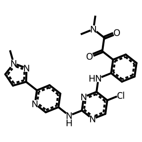 CN(C)C(=O)C(=O)c1ccccc1Nc1nc(Nc2ccc(-c3ccn(C)n3)nc2)ncc1Cl